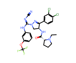 CCN1CCC[C@@H]1C(=O)N[C@H]1CN(C(=NC#N)Nc2cccc(OC(F)(F)F)c2)N=C1c1ccc(Cl)c(Cl)c1